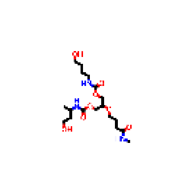 CNC(=O)CCCOC(COC(=O)NCCCCO)COC(=O)NC(C)CCO